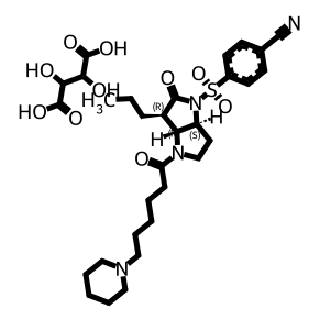 CCC[C@H]1C(=O)N(S(=O)(=O)c2ccc(C#N)cc2)[C@H]2CCN(C(=O)CCCCCN3CCCCC3)[C@H]12.O=C(O)C(O)C(O)C(=O)O